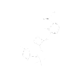 Cc1ccc([C@H](Nc2nsnc2Nc2cccc(C(N)=O)c2O)C(C)(C)C)o1